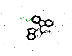 C[C](C)=[Ti]([CH]1C=Cc2ccccc21)[CH]1c2ccccc2-c2ccccc21.Cl.Cl